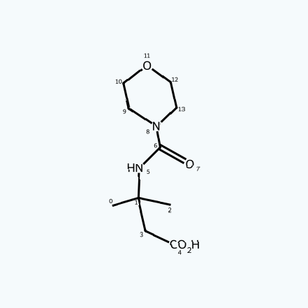 CC(C)(CC(=O)O)NC(=O)N1CCOCC1